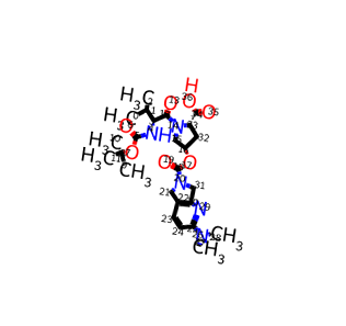 CC(C)[C@H](NC(=O)OC(C)(C)C)C(=O)N1C[C@H](OC(=O)N2Cc3ccc(N(C)C)nc3C2)C[C@H]1C(=O)O